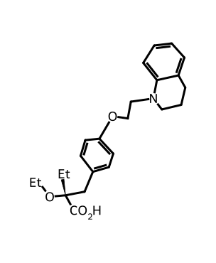 CCO[C@](CC)(Cc1ccc(OCCN2CCCc3ccccc32)cc1)C(=O)O